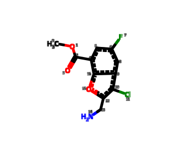 COC(=O)c1cc(F)cc2c(Cl)c(CN)oc12